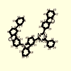 c1ccc(-c2ccc3oc4ccc(-n5c6ccccc6c6cc(-c7nc(-c8ccccc8)nc(-c8ccc9c(c8)oc8ccccc89)n7)ccc65)cc4c3c2)cc1